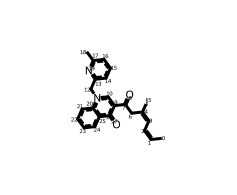 C/C=C\C=C(\I)CC(=O)c1cn(Cc2cccc(C)n2)c2ccccc2c1=O